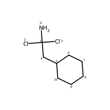 NC(Cl)(Cl)CC1CCCCC1